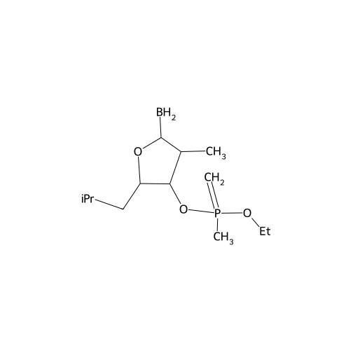 BC1OC(CC(C)C)C(OP(=C)(C)OCC)C1C